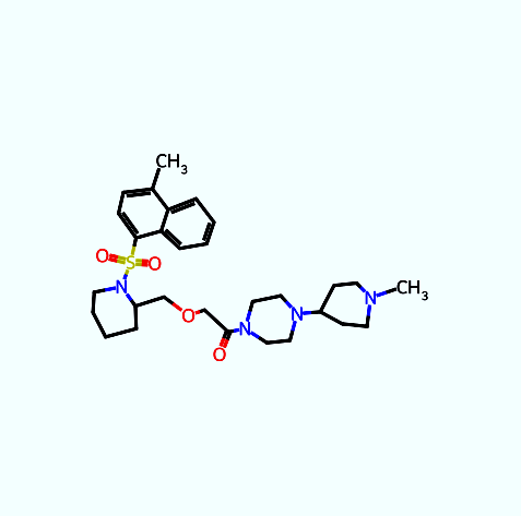 Cc1ccc(S(=O)(=O)N2CCCCC2COCC(=O)N2CCN(C3CCN(C)CC3)CC2)c2ccccc12